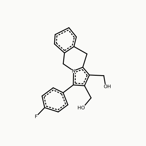 OCc1c(CO)c(-c2ccc(F)cc2)n2c1Cc1ccccc1C2